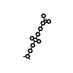 Cc1cc(C)cc(-c2ccc(-c3ccc(-c4c5ccccc5c(-c5ccc(-c6ccc(-c7ccc8c(c7)c7ccccc7n8-c7ccccc7)cc6)cc5)c5ccccc45)cc3)cc2)c1